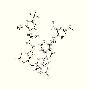 C=C1O[C@@H]2[C@@H](CN(CC(C)C)C3CC(CCC(=O)Nc4ccc(C(C)(C)C)cc4N)C3)C[C@@H](n3ccc4c(NCc5ccc(OC)cc5OC)ncnc43)[C@@H]2O1